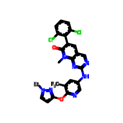 CCn1ccc(Oc2ncc(Nc3ncc4cc(-c5c(Cl)cccc5Cl)c(=O)n(C)c4n3)cc2C(F)(F)F)n1